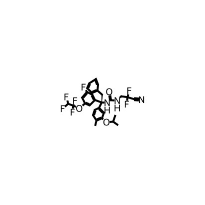 Cc1ccc([C@@](Cc2ccccc2)(NC(=O)NCC(F)(F)C#N)c2cc(F)cc(OC(F)(F)C(F)F)c2)cc1OC(C)C